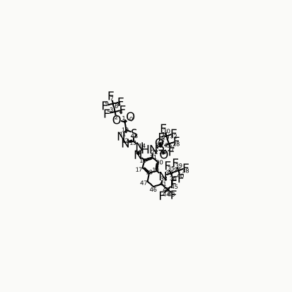 O=C(OC(F)(F)C(F)(F)F)c1nnc(N=Nc2cc3c(cc2NS(=O)(=O)C(F)(F)C(F)(F)F)N(C(F)(F)C(F)(F)F)C(C(F)(F)F)CC3)s1